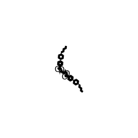 CCCCC[C@H]1CC[C@H](c2ccc(C(=O)O[C@H](C)C[C@@H](C)OC(=O)c3ccc([C@H]4CC[C@H](CCCCC)CC4)cc3)cc2)CC1